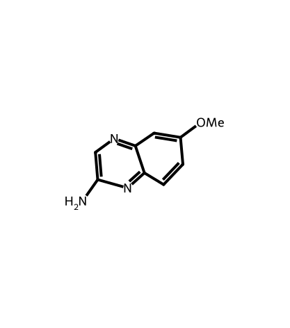 COc1ccc2nc(N)cnc2c1